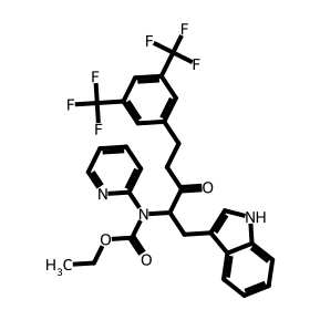 CCOC(=O)N(c1ccccn1)C(Cc1c[nH]c2ccccc12)C(=O)CCc1cc(C(F)(F)F)cc(C(F)(F)F)c1